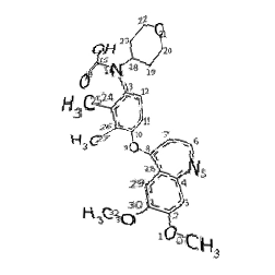 COc1cc2nccc(Oc3ccc(N(C(=O)O)C4CCOCC4)c(C)c3C)c2cc1OC